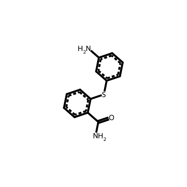 NC(=O)c1ccccc1Sc1cccc(N)c1